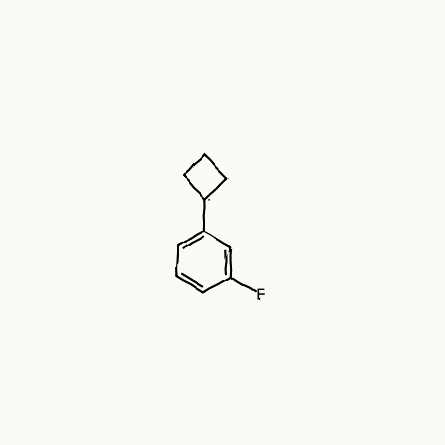 Fc1cccc([C]2CCC2)c1